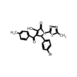 Cc1ccc(C(=O)C2=C(O)C(=O)N(c3nnc(C)s3)C2c2ccc(Br)cc2)cc1